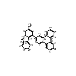 Clc1cc(-c2ccc3c4ccccc4c4ccccc4c3c2)c2c(c1)oc1ccccc12